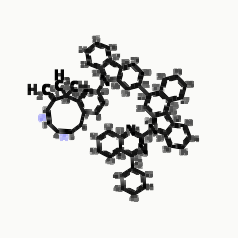 C=C1/C=C\C=C/Cc2ccc(-n3c4ccccc4c4ccc(-c5cc6c(c7ccccc57)c5ccccc5n6-c5nc(-c6ccccc6)c6ccccc6n5)cc43)cc2C1(C)C